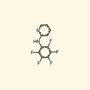 Fc1c(F)c(F)c(Nc2ccccn2)c(F)c1F